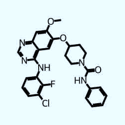 COc1cc2ncnc(Nc3cccc(Cl)c3F)c2cc1OC1CCN(C(=O)Nc2ccccc2)CC1